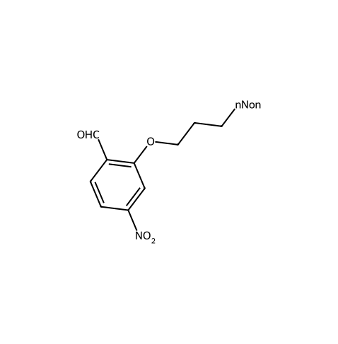 CCCCCCCCCCCCOc1cc([N+](=O)[O-])ccc1C=O